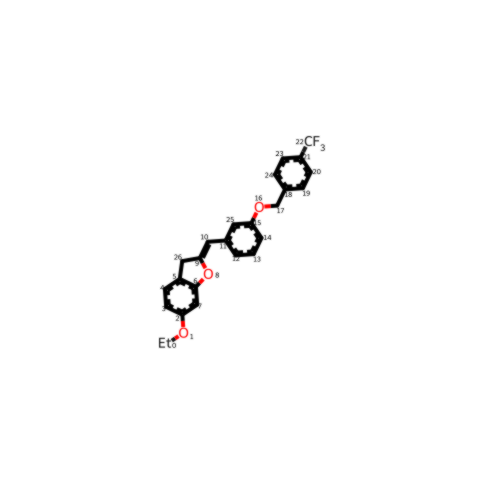 CCOc1ccc2c(c1)OC(=Cc1cccc(OCc3ccc(C(F)(F)F)cc3)c1)C2